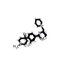 C/C=C(CN1CCCCC1)\N=C(/CC)c1ccc(C2(CC)CCN(C)CC2)c(C)c1